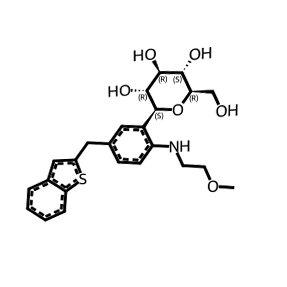 COCCNc1ccc(Cc2cc3ccccc3s2)cc1[C@@H]1O[C@H](CO)[C@@H](O)[C@H](O)[C@H]1O